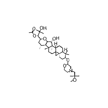 COC(C)(C)CN1CCOC(O[C@H]2CC[C@]34CC35CC[C@]3(C)C6C(OC([C@H](OC(C)=O)C(C)(C)O)C[C@H]6C)[C@H](O)[C@@]3(C)[C@@H]5CC[C@H]4C2(C)C)C1